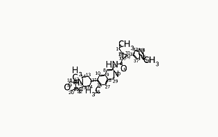 CC[C@@H]1[C@H](C(=O)Nc2cc3cc(C4CCN([C@]5(C)COC[C@@H]5F)CC4)c(C)cc3cn2)[C@H]1c1cnn(C)c1